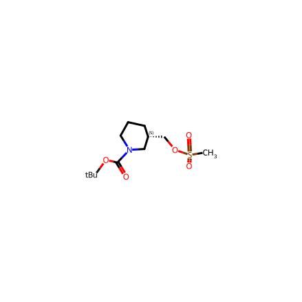 CC(C)(C)OC(=O)N1CCC[C@H](COS(C)(=O)=O)C1